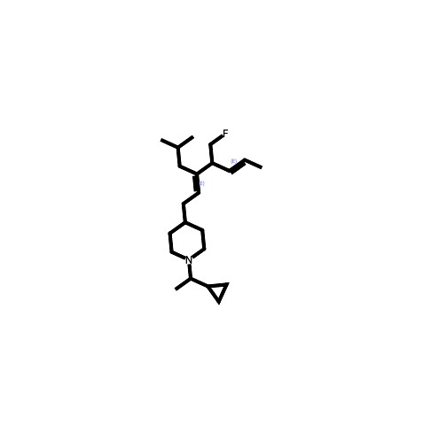 C/C=C/C(CF)/C(=C/CC1CCN(C(C)C2CC2)CC1)CC(C)C